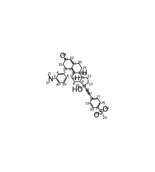 CN(C)c1ccc([C@H]2C[C@@]3(C)[C@@H](CC[C@@]3(O)C#Cc3ccc(S(C)(=O)=O)cc3)[C@@H]3CCC4=CC(=O)CCC4=C32)cc1